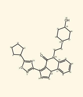 O=c1c2c(-c3noc(C4CCCC4)n3)ncn2c2ccccc2n1CCN1CCC(O)CC1